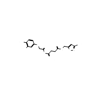 C=C(CCC(=O)NCc1cc(CCC)no1)NC(=O)COc1ccc(C)c(C)c1